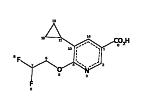 O=C(O)c1cnc(OCC(F)F)c(C2CC2)c1